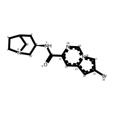 O=C(N[C@@H]1CC2CCN(C2)C1)c1cc2cc(Br)cn2cn1